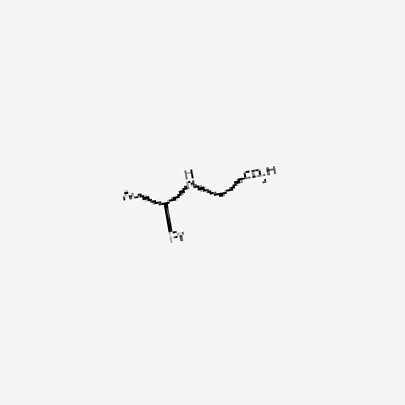 CC(=O)C(NCC(=O)O)C(C)C